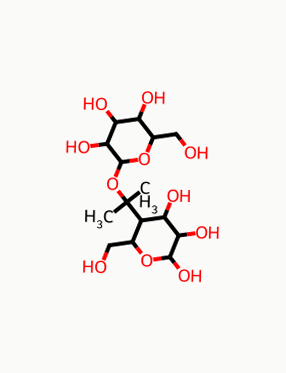 CC(C)(OC1OC(CO)C(O)C(O)C1O)C1C(CO)OC(O)C(O)C1O